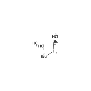 C[C](C)(C)[Ti][C](C)(C)C.Cl.Cl.Cl